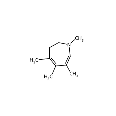 CC1=CN(C)CCC(C)=C1C